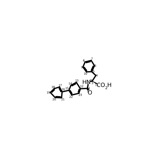 O=C(N[C@@H](Cc1ccccc1)C(=O)O)c1ccc(-c2ccccc2)cc1